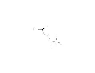 CCCC(=O)CCO[Si](CC)(CC)CC